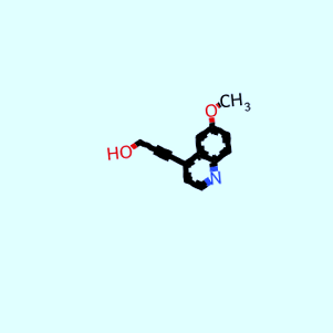 COc1ccc2nccc(C#CCO)c2c1